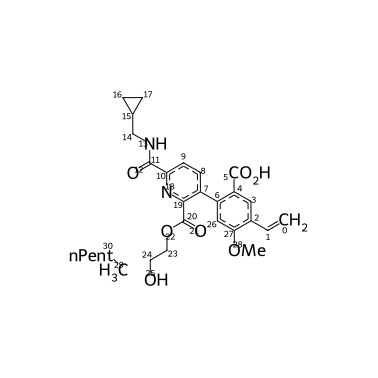 C=Cc1cc(C(=O)O)c(-c2ccc(C(=O)NCC3CC3)nc2C(=O)OCCO)cc1OC.CCCCCC